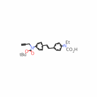 C#CCN(C(=O)OC(C)(C)C)c1ccc(/C=C/c2ccc(N(CC)C(=O)O)cc2)cc1